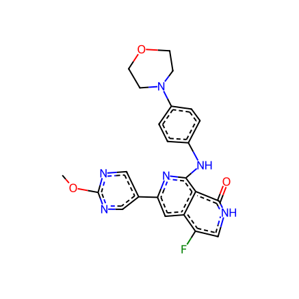 COc1ncc(-c2cc3c(F)c[nH]c(=O)c3c(Nc3ccc(N4CCOCC4)cc3)n2)cn1